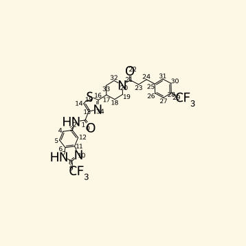 O=C(Nc1ccc2[nH]c(C(F)(F)F)nc2c1)c1csc(C2CCN(C(=O)CCc3ccc(C(F)(F)F)cc3)CC2)n1